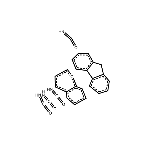 N=C=O.N=C=O.N=C=O.N=C=O.c1ccc2c(c1)Cc1ccccc1-2.c1ccc2ccccc2c1